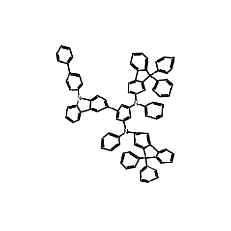 c1ccc(-c2ccc(-n3c4ccccc4c4cc(-c5cc(N(c6ccccc6)c6ccc7c(c6)C(c6ccccc6)(c6ccccc6)c6ccccc6-7)cc(N(c6ccccc6)c6ccc7c(c6)C(c6ccccc6)(c6ccccc6)c6ccccc6-7)c5)ccc43)cc2)cc1